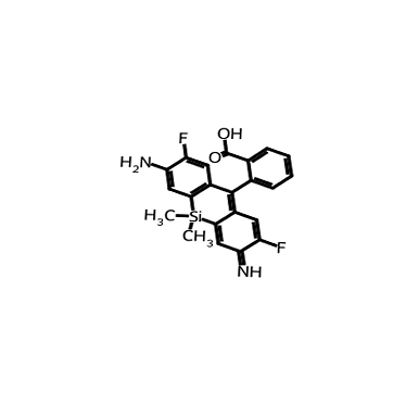 C[Si]1(C)C2=CC(=N)C(F)=CC2=C(c2ccccc2C(=O)O)c2cc(F)c(N)cc21